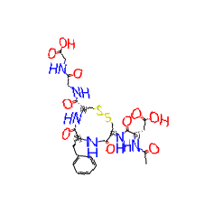 CC(=O)N[C@@H](CC(=O)O)C(=O)N[C@H]1CSSC[C@@H](C(=O)NCC(=O)NCC(=O)O)NC(=O)[C@H](Cc2ccccc2)NC1=O